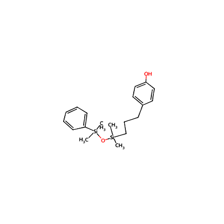 C[Si](C)(CCCc1ccc(O)cc1)O[Si](C)(C)c1ccccc1